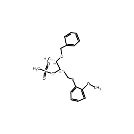 COc1ccccc1SCC[C@H](OS(C)(=O)=O)[C@H](C)OCc1ccccc1